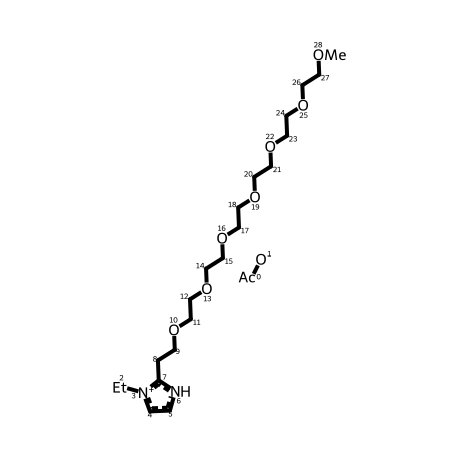 CC(=O)[O-].CC[n+]1cc[nH]c1CCOCCOCCOCCOCCOCCOCCOC